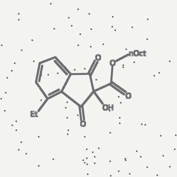 CCCCCCCCOC(=O)C1(O)C(=O)c2cccc(CC)c2C1=O